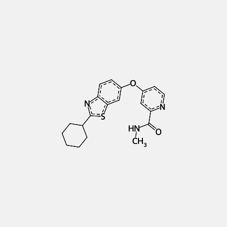 CNC(=O)c1cc(Oc2ccc3nc(C4CCCCC4)sc3c2)ccn1